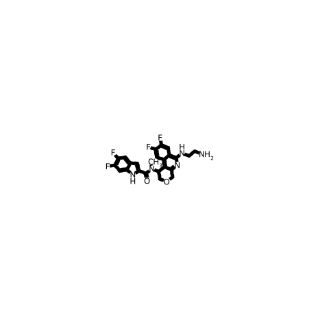 CN(C(=O)c1cc2cc(F)c(F)cc2[nH]1)C1COCc2nc(NCCN)c3cc(F)c(F)cc3c21